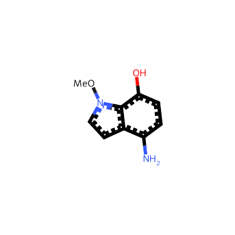 COn1ccc2c(N)ccc(O)c21